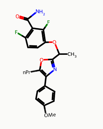 CCCc1oc(C(C)Oc2ccc(F)c(C(N)=O)c2F)nc1-c1ccc(OC)cc1